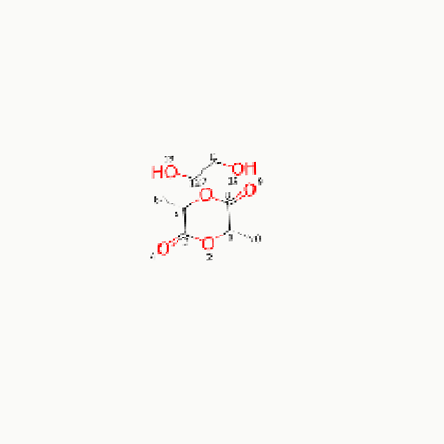 C[C@@H]1OC(=O)[C@H](C)OC1=O.OCCO